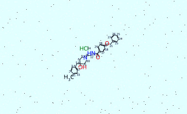 Cc1ccc(CC2(O)CCN(CCNC(=O)c3ccc(OCc4ccccc4)cc3)CC2)cc1.Cl